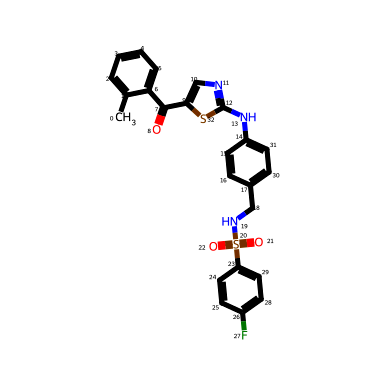 Cc1ccccc1C(=O)c1cnc(Nc2ccc(CNS(=O)(=O)c3ccc(F)cc3)cc2)s1